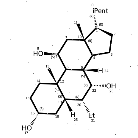 CCC[C@@H](C)[C@H]1CCC2[C@H]3C([C@@H](O)C[C@@]21C)[C@@]1(C)CC[C@@H](O)C[C@H]1[C@@H](CC)[C@H]3O